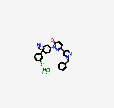 Cl.Cl.NC[C@]1(c2cccc(Cl)c2)CC[C@@H](n2nc(-c3cnn(Cc4ccccc4)c3)ccc2=O)CC1